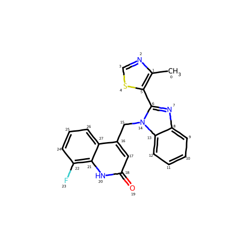 Cc1ncsc1-c1nc2ccccc2n1Cc1cc(=O)[nH]c2c(F)cccc12